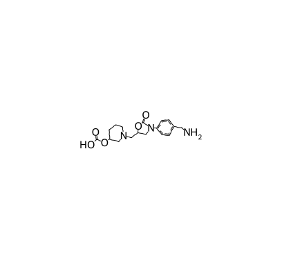 NCc1ccc(N2CC(CN3CCCC(OC(=O)O)C3)OC2=O)cc1